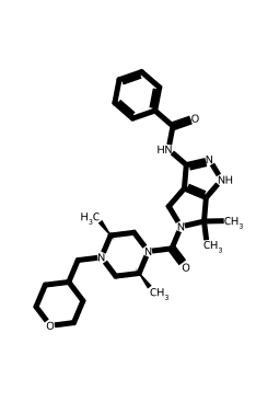 C[C@H]1CN(C(=O)N2Cc3c(NC(=O)c4ccccc4)n[nH]c3C2(C)C)[C@@H](C)CN1CC1CCOCC1